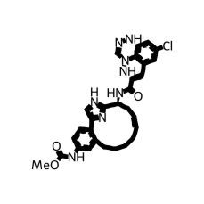 COC(=O)Nc1ccc2c(c1)CCCC/C=C\C[C@H](NC(=O)/C=C/c1cc(Cl)ccc1N(N)/C=N\N)c1nc-2c[nH]1